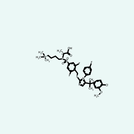 COc1cc(C(C)(C)c2cnc(SCc3c(F)cc(S(=O)(=O)N(CCCC[N+](C)(C)C)[C@H](C)C(=O)O)cc3F)n2-c2ccc(F)cc2)ccc1Cl